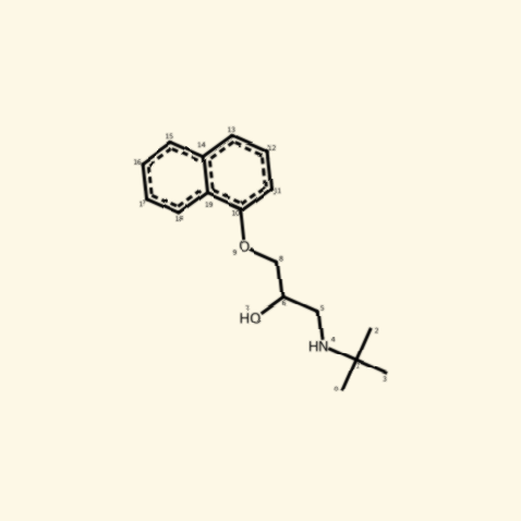 CC(C)(C)NCC(O)COc1cccc2ccccc12